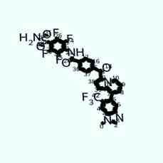 Cn1cnc2cc(-c3cccn4c(C(=O)c5ccc(C(=O)Nc6c(F)c(F)c(S(N)(=O)=O)c(F)c6F)cc5)ccc34)c(C(F)(F)F)cc21